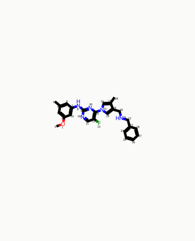 COc1cc(C)cc(Nc2ncc(F)c(-n3cc(C)c(CNCc4ccccc4)c3)n2)c1